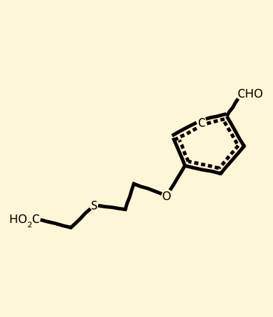 O=Cc1ccc(OCCSCC(=O)O)cc1